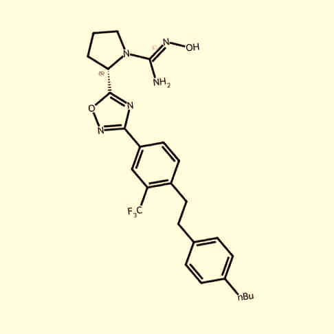 CCCCc1ccc(CCc2ccc(-c3noc([C@@H]4CCCN4/C(N)=N/O)n3)cc2C(F)(F)F)cc1